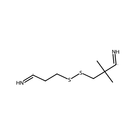 CC(C)([C]=N)CSSCC[C]=N